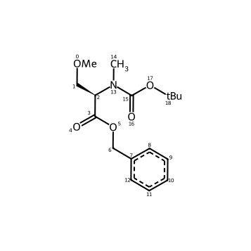 COC[C@H](C(=O)OCc1ccccc1)N(C)C(=O)OC(C)(C)C